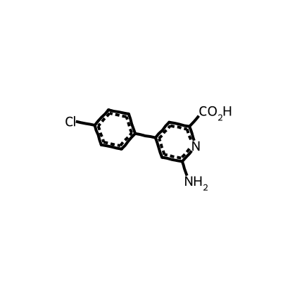 Nc1cc(-c2ccc(Cl)cc2)cc(C(=O)O)n1